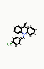 C=C1c2ccccc2N(Cc2ccc(Cl)cc2)C2C=CC=CC12